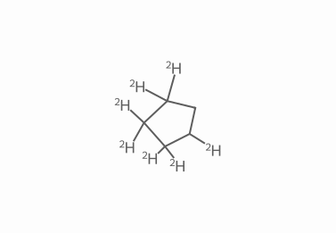 [2H]C1CC([2H])([2H])C([2H])([2H])C1([2H])[2H]